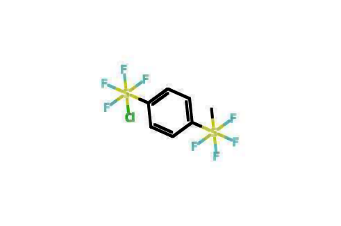 CS(F)(F)(F)(F)c1ccc(S(F)(F)(F)(F)Cl)cc1